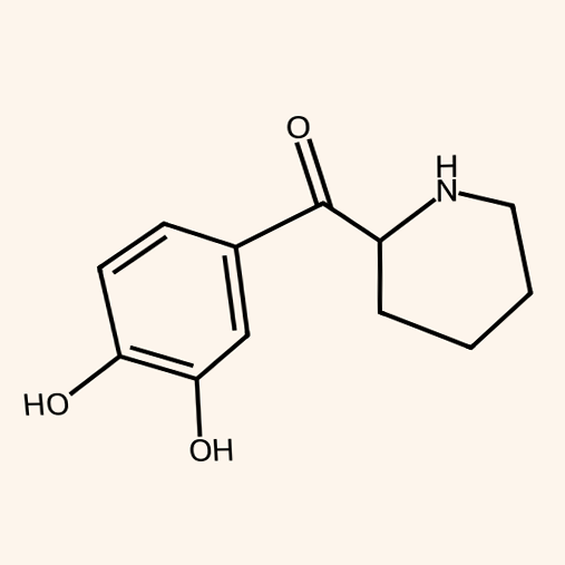 O=C(c1ccc(O)c(O)c1)C1CCCCN1